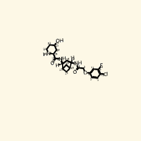 O=C(COc1ccc(Cl)c(F)c1)N[C@H]1C[C@@H](NC(=O)C2CC(O)CCN2)C2CC1C2